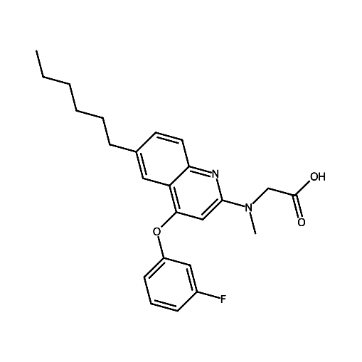 CCCCCCc1ccc2nc(N(C)CC(=O)O)cc(Oc3cccc(F)c3)c2c1